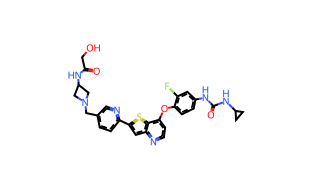 O=C(CO)NC1CN(Cc2ccc(-c3cc4nccc(Oc5ccc(NC(=O)NC6CC6)cc5F)c4s3)nc2)C1